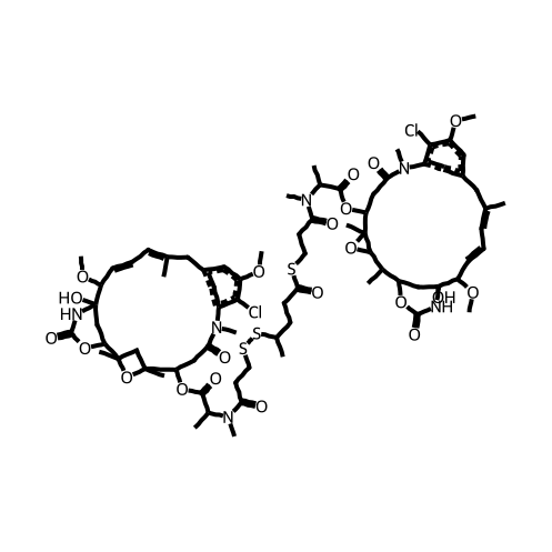 COc1cc2cc(c1Cl)N(C)C(=O)CC(OC(=O)C(C)N(C)C(=O)CCSSC(C)CCC(=O)SCCC(=O)N(C)C(C)C(=O)OC1CC(=O)N(C)c3cc(cc(OC)c3Cl)C/C(C)=C/C=C/C(OC)C3(O)CC(OC(=O)N3)C(C)C3OC13C)C1(C)CC(C)(O1)C1CC(O)(NC(=O)O1)C(OC)/C=C/C=C(\C)C2